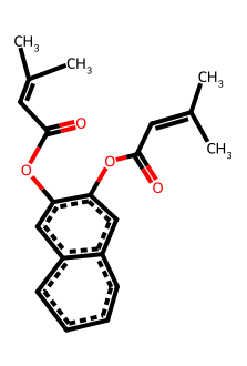 CC(C)=CC(=O)Oc1cc2ccccc2cc1OC(=O)C=C(C)C